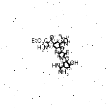 CCOC(=O)C(CN)[S+]([O-])c1ccc(Oc2c(F)cnc(Oc3cc(C(=N)N)ccc3O)c2F)c(C2N=CCN2C)c1